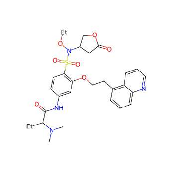 CCON(C1COC(=O)C1)S(=O)(=O)c1ccc(NC(=O)C(CC)N(C)C)cc1OCCc1cccc2ncccc12